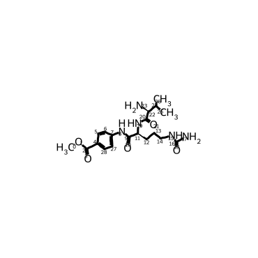 COC(=O)c1ccc(NC(=O)[C@H](CCCNC(N)=O)NC(=O)[C@@H](N)C(C)C)cc1